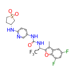 Cc1c([C@H](NC(=O)Nc2ccc(N[C@@H]3CCS(=O)(=O)C3)nc2)C(F)(F)F)oc2c(F)cc(F)cc12